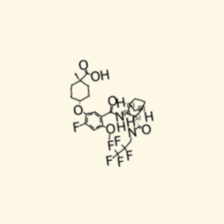 COc1cc(F)c(O[C@H]2CC[C@@](C)(C(=O)O)CC2)cc1C(=O)N[C@@H]1[C@H]2CC[C@H](C2)[C@@H]1C(=O)NCC(F)(F)C(F)(F)F